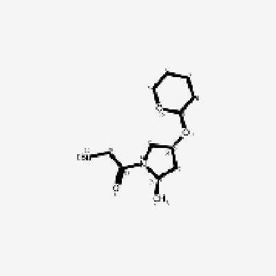 C[C@@H]1C[C@H](OC2CCCCO2)CN1C(=O)CC(C)(C)C